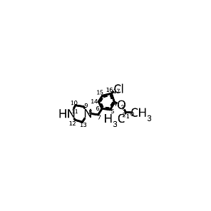 CC(C)Oc1cc(CN2CCNCC2)ccc1Cl